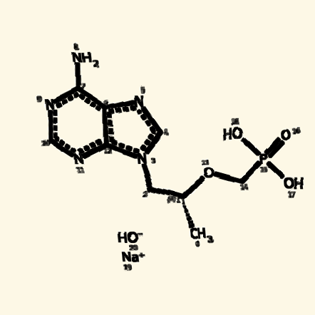 C[C@H](Cn1cnc2c(N)ncnc21)OCP(=O)(O)O.[Na+].[OH-]